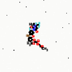 COCCOC(=O)[C@H](OC)Oc1ccccc1Oc1cc(-n2c(=O)cc(C(F)(F)F)n(C)c2=O)c(F)cc1Br